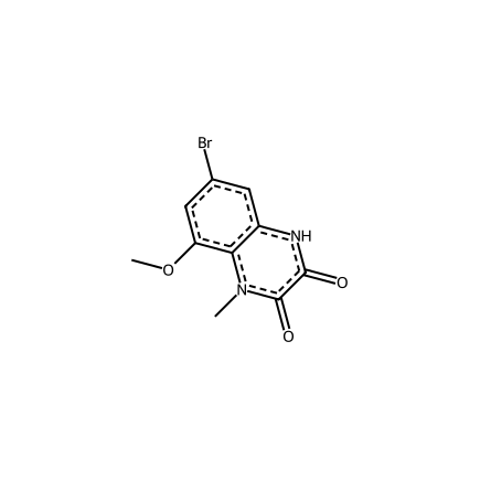 COc1cc(Br)cc2[nH]c(=O)c(=O)n(C)c12